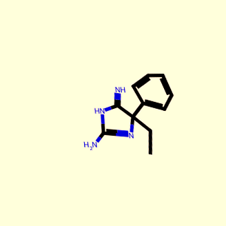 CCC1(c2ccccc2)N=C(N)NC1=N